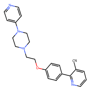 N#Cc1cccnc1-c1ccc(OCCN2CCN(c3ccncc3)CC2)cc1